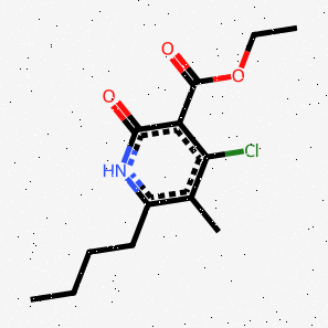 CCCCc1[nH]c(=O)c(C(=O)OCC)c(Cl)c1C